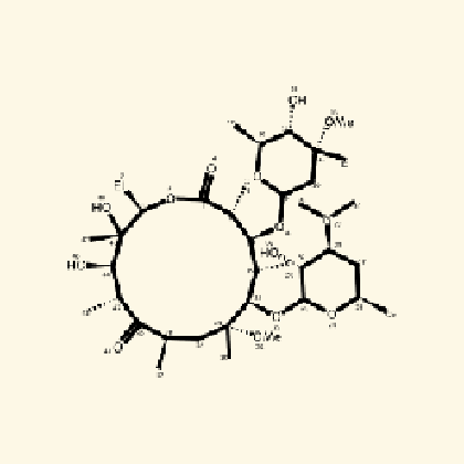 CC[C@H]1OC(=O)[C@H](C)[C@@H](OC2C[C@@](C)(OC)[C@@H](O)[C@H](C)O2)[C@H](C)[C@@H](OC2O[C@H](C)C[C@H](N(C)C)[C@H]2O)[C@](C)(OC)C[C@@H](C)C(=O)[C@H](C)[C@@H](O)[C@]1(C)O